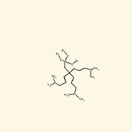 CCO[Si](CC(CCCN(C)C)(CCCN(C)C)CCCN(C)C)(OCC)OCC